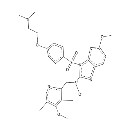 COc1ccc2nc([S+]([O-])Cc3ncc(C)c(OC)c3C)n(S(=O)(=O)c3ccc(OCCN(C)C)cc3)c2c1